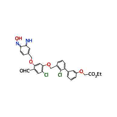 CCOC(=O)COc1cccc(-c2cccc(COc3cc(OCC4=CC(=N)/C(=N\O)C=C4)c(C=O)cc3Cl)c2Cl)c1